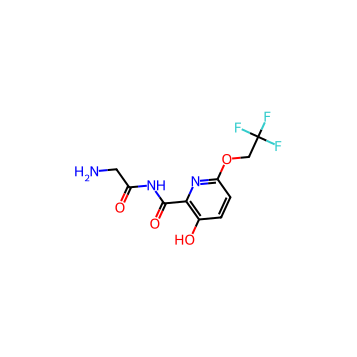 NCC(=O)NC(=O)c1nc(OCC(F)(F)F)ccc1O